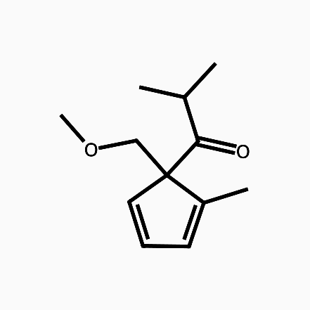 COCC1(C(=O)C(C)C)C=CC=C1C